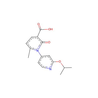 Cc1ccc(C(=O)O)c(=O)n1-c1ccnc(OC(C)C)c1